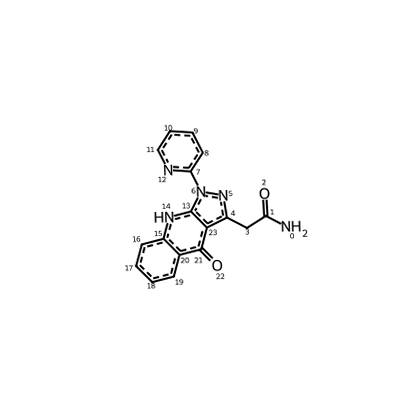 NC(=O)Cc1nn(-c2ccccn2)c2[nH]c3ccccc3c(=O)c12